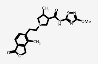 COc1nsc(NC(=O)C2CN(CCc3ccc4c(c3C)COC4=O)CC2C)n1